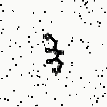 NCC(Cl)NC(Cl)CN